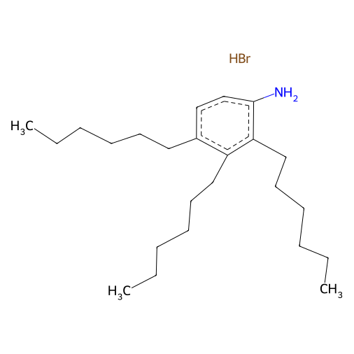 Br.CCCCCCc1ccc(N)c(CCCCCC)c1CCCCCC